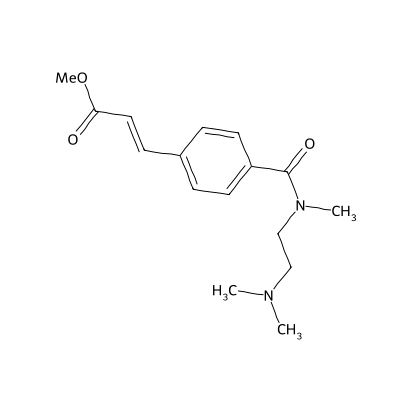 COC(=O)/C=C/c1ccc(C(=O)N(C)CCN(C)C)cc1